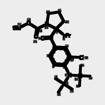 CCCC1(C(=O)c2ccc(N([Si](C)(C)C)[Si](C)(C)C)c(Cl)c2)CCCN1C(=O)OC(C)(C)C